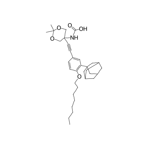 CCCCCCCCOc1ccc(C#CC2(NC(=O)O)COC(C)(C)OC2)cc1C12CC3CC(CC(C3)C1)C2